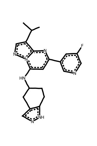 CC(C)c1cnn2c(NC3CCc4[nH]ncc4C3)cc(-c3cncc(F)c3)nc12